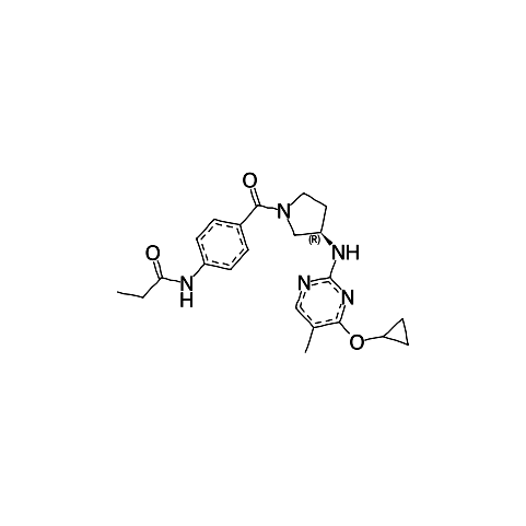 CCC(=O)Nc1ccc(C(=O)N2CC[C@@H](Nc3ncc(C)c(OC4CC4)n3)C2)cc1